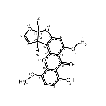 COc1ccc(O)c2c(=O)c3c(OC)cc4c(c3oc12)[C@@H]1C=CO[C@@H]1O4